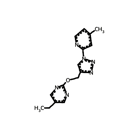 CCc1cnc(OCc2cn(-c3cc(C)ccn3)nn2)nc1